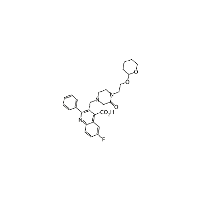 O=C(O)c1c(CN2CCN(CCOC3CCCCO3)C(=O)C2)c(-c2ccccc2)nc2ccc(F)cc12